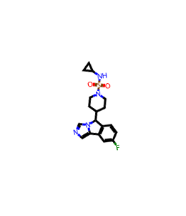 O=S(=O)(NC1CC1)N1CCC(C2c3ccc(F)cc3-c3cncn32)CC1